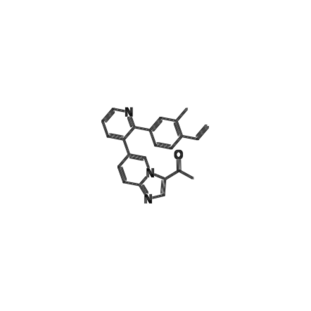 C=Cc1ccc(-c2ncccc2-c2ccc3ncc(C(C)=O)n3c2)cc1C